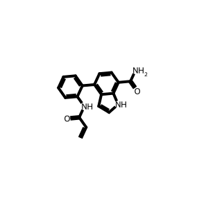 C=CC(=O)Nc1ccccc1-c1ccc(C(N)=O)c2[nH]ccc12